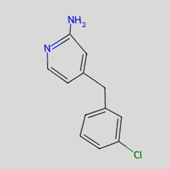 Nc1cc(Cc2cccc(Cl)c2)ccn1